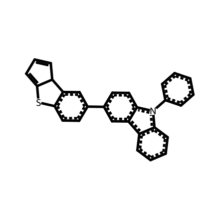 C1=CC2C(=C1)Sc1ccc(-c3ccc4c(c3)c3ccccc3n4-c3ccccc3)cc12